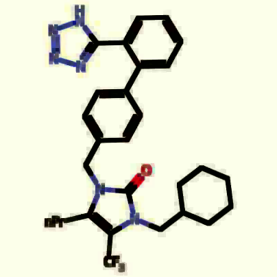 CCCc1c(C(F)(F)F)n(CC2CCCCC2)c(=O)n1Cc1ccc(-c2ccccc2-c2nnn[nH]2)cc1